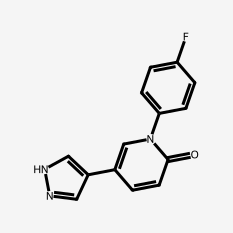 O=c1ccc(-c2cn[nH]c2)cn1-c1ccc(F)cc1